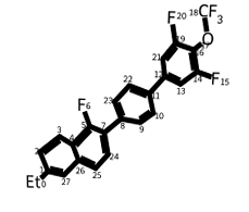 CCc1ccc2c(F)c(-c3ccc(-c4cc(F)c(OC(F)(F)F)c(F)c4)cc3)ccc2c1